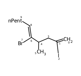 C=C(I)CC(C)C(Br)=CCCCCC